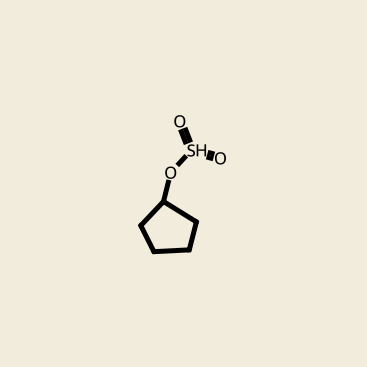 O=[SH](=O)OC1CCCC1